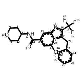 Cc1cc(C(=O)NC2CCOCC2)cc2nc(C(F)(F)F)c(Cc3ccccc3)n12